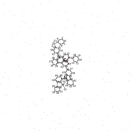 CC1(C)c2ccccc2-c2cc(N(c3ccc(-c4ccccc4)cc3)c3ccccc3-c3cccc(-c4ccc5c6ccccc6n(-c6cccc7c6C(C)(C)c6ccccc6-7)c5c4)c3)ccc21